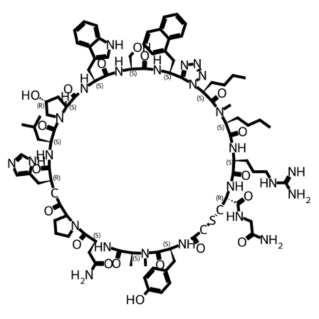 CCCC[C@H]1C(=O)N[C@@H](CCCNC(=N)N)C(=O)N[C@H](C(=O)NCC(N)=O)CSCC(=O)N[C@@H](Cc2ccc(O)cc2)C(=O)N(C)[C@@H](C)C(=O)N[C@@H](CC(N)=O)C(=O)N2CCCC2C(=O)C[C@@H](Cc2cnc[nH]2)C(=O)N[C@@H](CC(C)C)C(=O)N2C[C@H](O)C[C@H]2C(=O)N[C@@H](Cc2c[nH]c3ccccc23)C(=O)N[C@@H](CO)C(=O)N[C@@H](Cc2cccc3ccccc23)c2nnnn2[C@@H](CCCC)C(=O)N1C